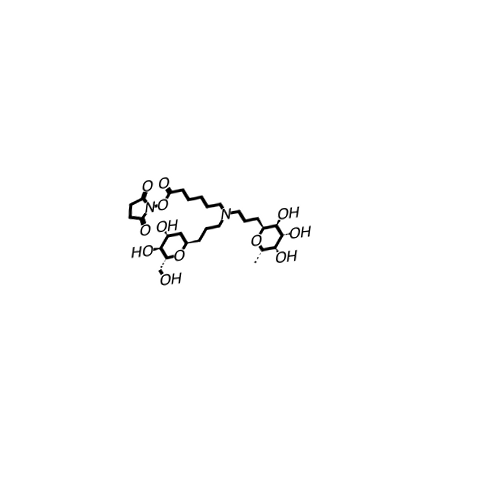 C[C@@H]1O[C@@H](CCCN(CCCCCC(=O)ON2C(=O)CCC2=O)CCC[C@@H]2C[C@@H](O)[C@H](O)[C@@H](CO)O2)[C@@H](O)[C@H](O)[C@@H]1O